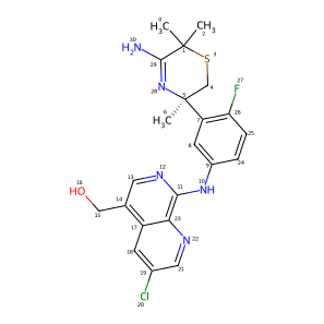 CC1(C)SC[C@@](C)(c2cc(Nc3ncc(CO)c4cc(Cl)cnc34)ccc2F)N=C1N